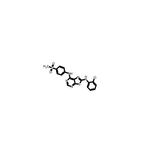 CS(=O)(=O)c1ccc(Nc2ncnc3sc(Nc4ccccc4Cl)nc23)cc1